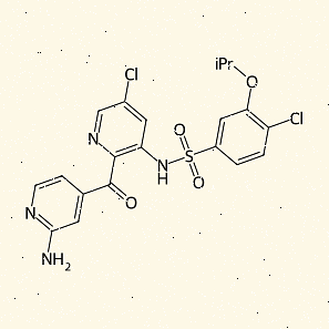 CC(C)Oc1cc(S(=O)(=O)Nc2cc(Cl)cnc2C(=O)c2ccnc(N)c2)ccc1Cl